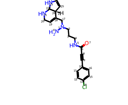 NN(CCCNC(=O)C#Cc1ccc(Cl)cc1)CC1=CCNC2NC=C[C@H]12